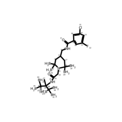 BC1(B)CC(CNC(=O)c2cc(F)cc(Cl)c2)CC(B)(B)N1CC(=O)NC(C)(C(B)(B)B)C(B)(B)B